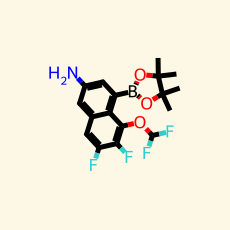 CC1(C)OB(c2cc(N)cc3cc(F)c(F)c(OC(F)F)c23)OC1(C)C